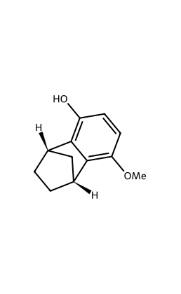 COc1ccc(O)c2c1[C@@H]1CC[C@H]2C1